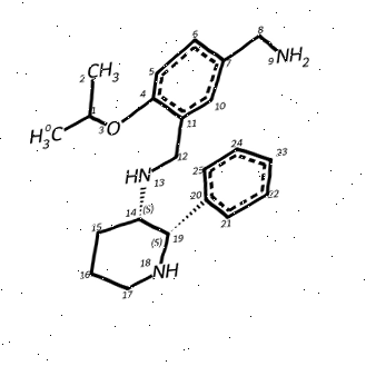 CC(C)Oc1ccc(CN)cc1CN[C@H]1CCCN[C@H]1c1ccccc1